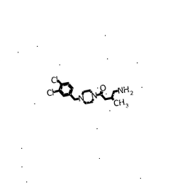 CC(CN)CC(=O)N1CCN(Cc2ccc(Cl)c(Cl)c2)CC1